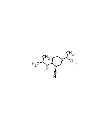 CC(C)NC1CCN(C(C)C)CC1C#N